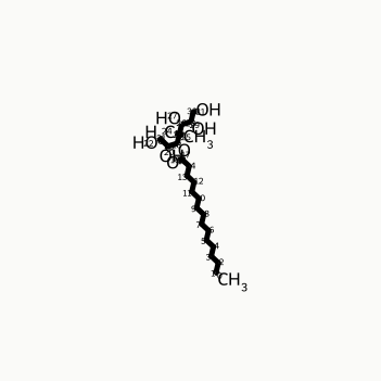 CCCCCCCCCCCCCCCC(=O)OC(C(O)CO)C(C)(C)C(O)C(O)CO